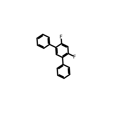 Fc1cc(F)c(-c2ccccc2)cc1-c1ccccc1